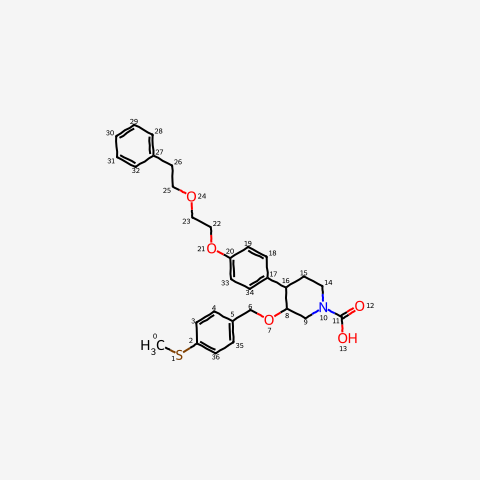 CSc1ccc(COC2CN(C(=O)O)CCC2c2ccc(OCCOCCc3ccccc3)cc2)cc1